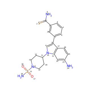 NC(=S)c1cccc(-c2cn(C3CCN(S(N)(=O)=O)CC3)c3cc(N)ccc23)c1